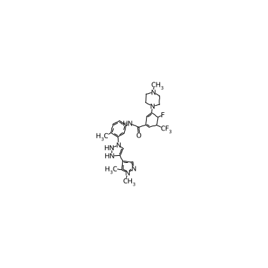 Cc1ccc(NC(=O)C2=CC(C(F)(F)F)C(F)C(N3CCN(C)CC3)=C2)cc1N1C=C(c2cnn(C)c2C)NN1